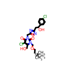 C[Si](C)(C)CCOCn1c(CO)c(Cl)c(=O)n(Cc2nc(C[C@H](O)c3ccc(Cl)cc3)no2)c1=O